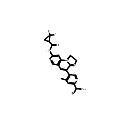 CCC(O)c1cc(C)c(C2=Cc3cnc(NC(=O)C4CC4(F)F)cc3N3CCN=C23)cn1